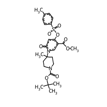 COC(=O)c1cn(C2(C)CCN(C(=O)OC(C)(C)C)CC2)c(=O)cc1OS(=O)(=O)c1ccc(C)cc1